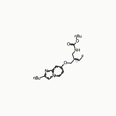 CCCCOC(=O)NC/C(=C\F)COc1ccn2cc(CCCC)nc2c1